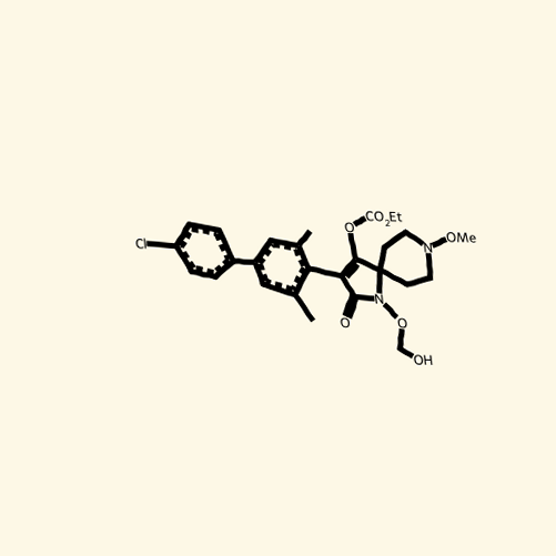 CCOC(=O)OC1=C(c2c(C)cc(-c3ccc(Cl)cc3)cc2C)C(=O)N(OCO)C12CCN(OC)CC2